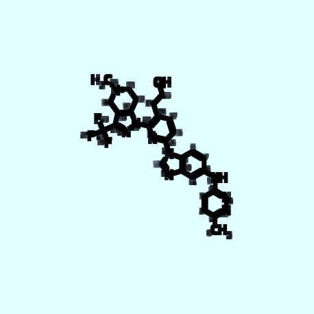 Cc1ccc(Nc2ccc3c(c2)ncn3-c2ccc(CCO)c(-n3nc(C(F)(F)F)c4c3CCN(C)C4)n2)nn1